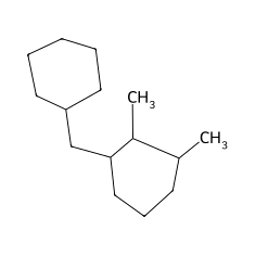 CC1CCCC(CC2CCCCC2)C1C